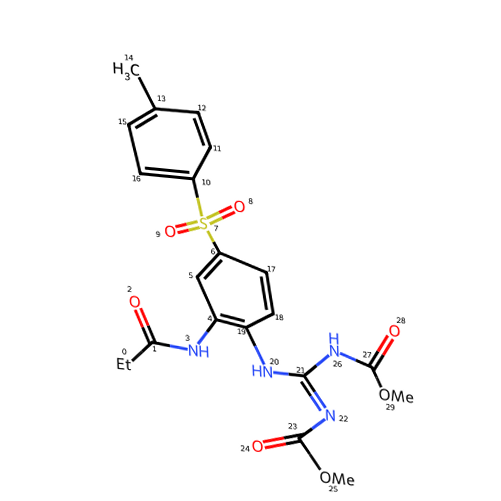 CCC(=O)Nc1cc(S(=O)(=O)c2ccc(C)cc2)ccc1NC(=NC(=O)OC)NC(=O)OC